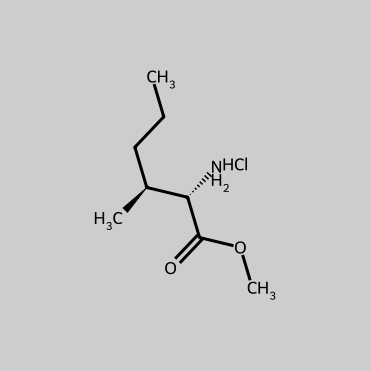 CCC[C@H](C)[C@H](N)C(=O)OC.Cl